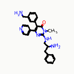 Cn1c(NCC(N)Cc2ccccc2)nc(-c2ccncc2)c(-c2cccc(CN)c2)c1=O